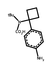 CC(C)(C)N(C(=O)O)C1(c2ccc(N)cc2)CCC1